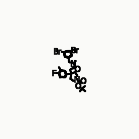 Cc1cc(C2(CC(=O)N(C)Cc3cc(Br)cc(Br)c3)CCN(C(=O)OC(C)(C)C)CC2)ccc1F